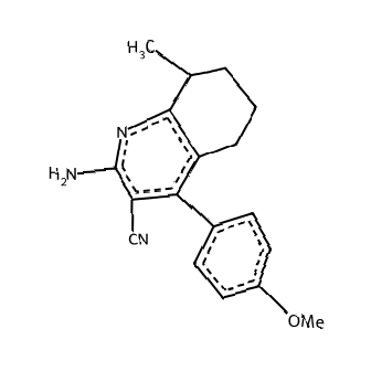 COc1ccc(-c2c(C#N)c(N)nc3c2CCCC3C)cc1